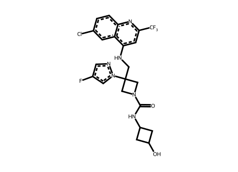 O=C(NC1CC(O)C1)N1CC(CNc2cc(C(F)(F)F)nc3ccc(Cl)cc23)(n2cc(F)cn2)C1